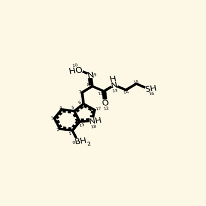 Bc1cccc2c(C/C(=N\O)C(=O)NCCS)c[nH]c12